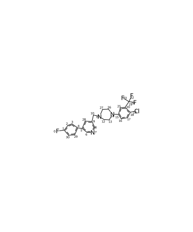 Fc1ccc(-c2cncc(CN3CCN(c4ccc(Cl)c(C(F)(F)F)c4)CC3)c2)cc1